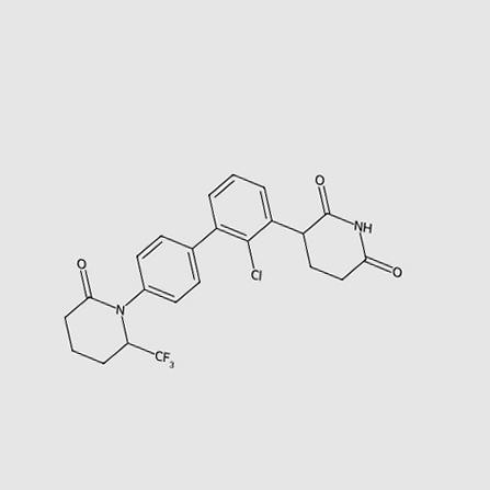 O=C1CCC(c2cccc(-c3ccc(N4C(=O)CCCC4C(F)(F)F)cc3)c2Cl)C(=O)N1